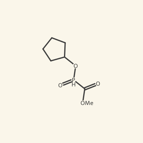 COC(=O)[PH](=O)OC1CCCC1